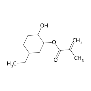 C=C(C)C(=O)OC1CC(CC)CCC1O